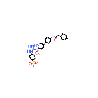 COc1cc(S(C)(=O)=O)ccc1NC(=N)/N=c1/ccc(-c2ccc(NC(=O)Cc3ccc(F)cc3)cc2)c[nH]1